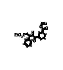 CCOC(=O)CC(NC(=O)C1CCCN(C(=O)OC(C)(C)C)C1)c1ccccc1